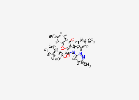 COC(=O)[C@H](OC1=C(C(=O)c2ccc(C(C)C)cc2)[C@@H](c2ccc(C(F)(F)F)cc2)N(c2ccc(C)nn2)C1=O)c1ccccc1